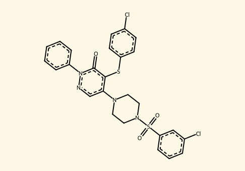 O=c1c(Sc2ccc(Cl)cc2)c(N2CCN(S(=O)(=O)c3cccc(Cl)c3)CC2)cnn1-c1ccccc1